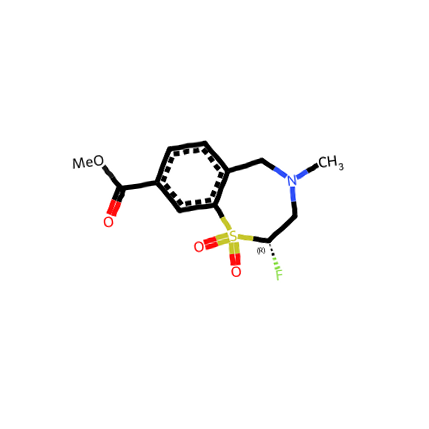 COC(=O)c1ccc2c(c1)S(=O)(=O)[C@@H](F)CN(C)C2